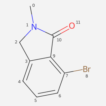 CN1Cc2cccc(Br)c2C1=O